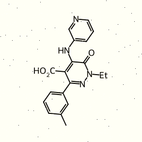 CCn1nc(-c2cccc(C)c2)c(C(=O)O)c(Nc2cccnc2)c1=O